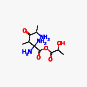 CC(N)C(=O)C(C)C(N)(N)C(=O)OC(=O)C(C)O